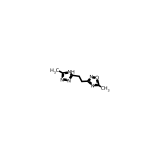 Cc1nnc(CCc2noc(C)n2)[nH]1